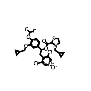 O=C(OC(Cc1c(Cl)c[n+]([O-])cc1Cl)c1ccc(OC(F)F)c(OCC2CC2)c1)C1SCCN1CC1CC1